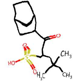 CC(C)(C)C(C(=O)C1CC2CCC1C2)S(=O)(=O)O